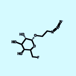 [N-]=[N+]=NCCO[C@@H]1OC(CF)[C@@H](O)C(O)[C@@H]1O